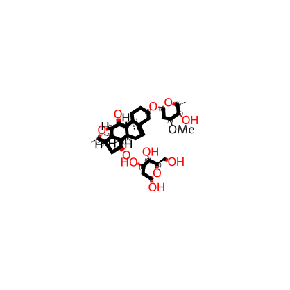 CO[C@@H]1C[C@H](O[C@H]2CC[C@@]3(C)C(=CC[C@H]4[C@H]5C(=O)C[C@H]6[C@H](C)O[C@@H](C(=O)[C@@H]43)[C@@]56C)C2)O[C@H](C)[C@@H]1O.OC[C@H]1OC(O)C[C@@H](O)[C@@H]1O